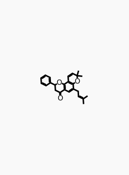 CC(C)=CCc1cc2c(c3c1OC(C)(C)C=C3)OC(c1ccccc1)CC2=O